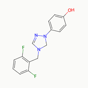 Oc1ccc(N2CN(Cc3c(F)cccc3F)C=N2)cc1